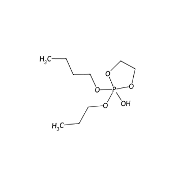 CCCCOP1(O)(OCCC)OCCO1